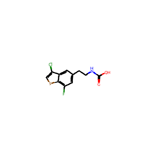 O=C(O)NCCc1cc(F)c2scc(Cl)c2c1